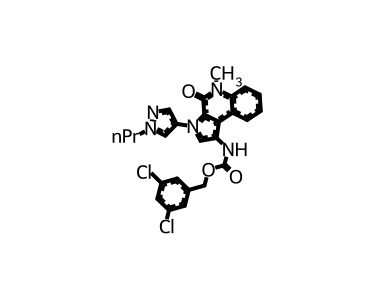 CCCn1cc(-n2cc(NC(=O)OCc3cc(Cl)cc(Cl)c3)c3c4ccccc4n(C)c(=O)c32)cn1